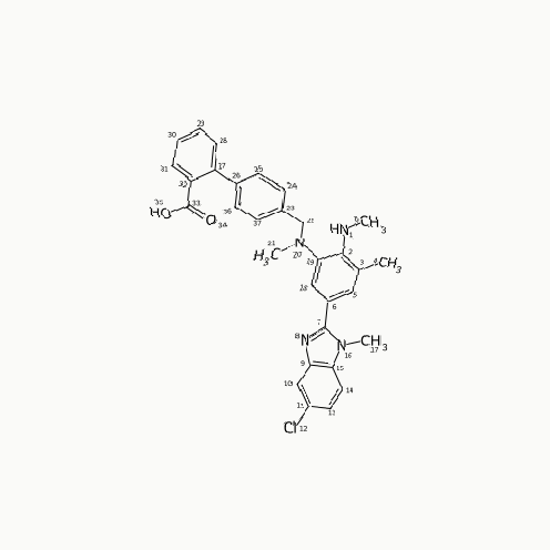 CNc1c(C)cc(-c2nc3cc(Cl)ccc3n2C)cc1N(C)Cc1ccc(-c2ccccc2C(=O)O)cc1